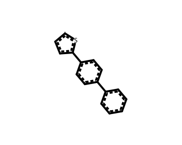 [c]1ccc(-c2ccc(-c3ccccc3)cc2)s1